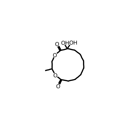 CC1COC(=O)C(O)(O)CCCCCCCC(=O)O1